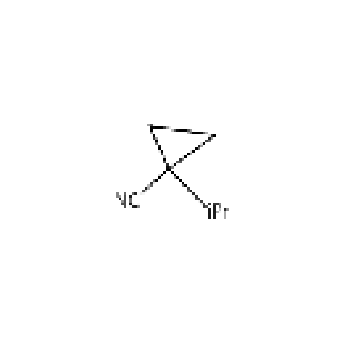 CC(C)C1(C#N)CC1